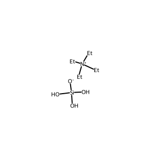 CC[N+](CC)(CC)CC.[O-][Si](O)(O)O